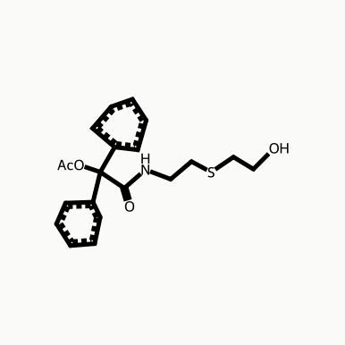 CC(=O)OC(C(=O)NCCSCCO)(c1ccccc1)c1ccccc1